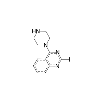 Ic1nc(N2CCNCC2)c2ccccc2n1